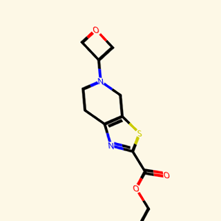 CCOC(=O)c1nc2c(s1)CN(C1COC1)CC2